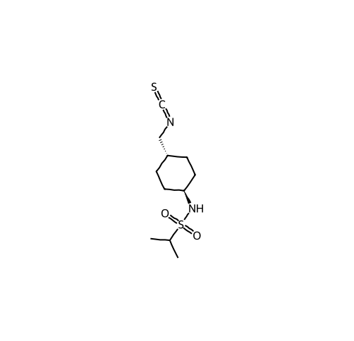 CC(C)S(=O)(=O)N[C@H]1CC[C@H](CN=C=S)CC1